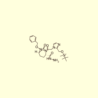 CC(C)(C)[Si](C)(C)OCc1nccn1CC(=O)[N+]12C[C@@H](CC[C@H]1C(=O)NN)N(OCc1ccccc1)C2=O